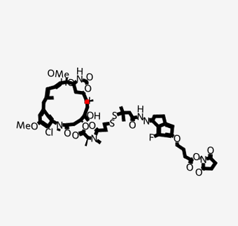 COc1cc2cc(c1Cl)N(C)C(=O)C[C@H](OC(=O)[C@H](C)N(C)C(=O)CCSSC(C)(C)CC(=O)N/N=C1\CCc3cc(OCCCC(=O)ON4C(=O)CCC4=O)cc(F)c31)C(C)(O)C[C@H](C)[C@@H]1C[C@@](O)(NC(=O)O1)[C@H](OC)/C=C/C=C(\C)C2